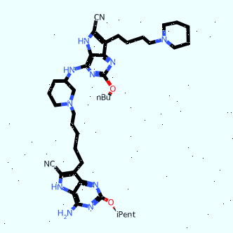 CCCCOc1nc(NC2CCCN(CCCCCc3c(C#N)[nH]c4c(N)nc(O[C@@H](C)CCC)nc34)C2)c2[nH]c(C#N)c(CCCCN3CCCCC3)c2n1